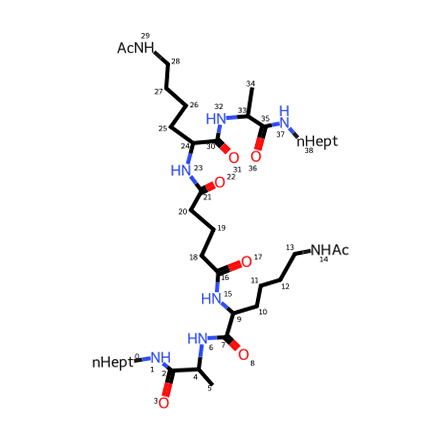 CCCCCCCNC(=O)C(C)NC(=O)C(CCCCNC(C)=O)NC(=O)CCCC(=O)NC(CCCCNC(C)=O)C(=O)NC(C)C(=O)NCCCCCCC